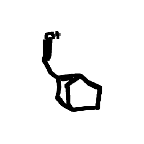 [CH]=CC1=C2CCC(C1)C2